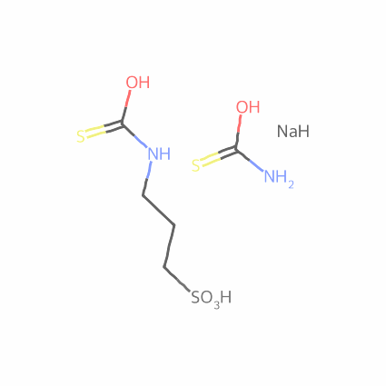 NC(O)=S.O=S(=O)(O)CCCNC(O)=S.[NaH]